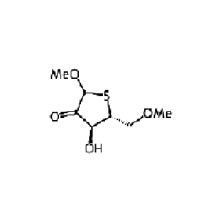 COC[C@H]1SC(OC)C(=O)[C@@H]1O